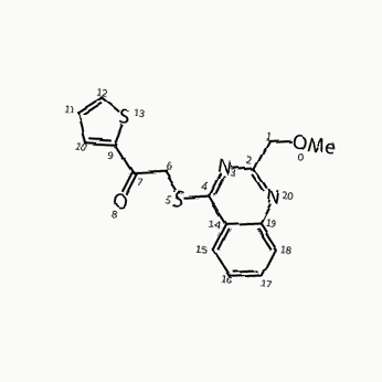 COCc1nc(SCC(=O)c2cccs2)c2ccccc2n1